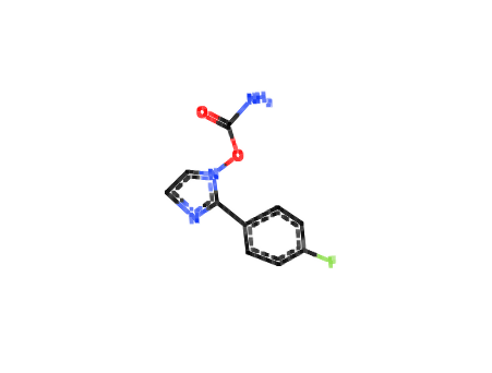 NC(=O)On1ccnc1-c1ccc(F)cc1